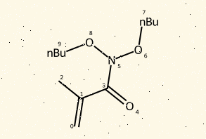 C=C(C)C(=O)N(OCCCC)OCCCC